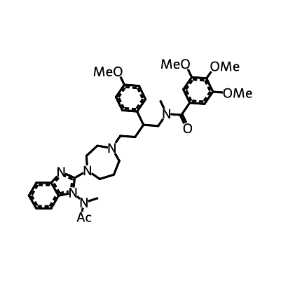 COc1ccc(C(CCN2CCCN(c3nc4ccccc4n3N(C)C(C)=O)CC2)CN(C)C(=O)c2cc(OC)c(OC)c(OC)c2)cc1